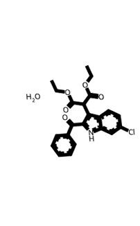 CCOC(=O)C(C(=O)OCC)c1c(C(=O)c2ccccc2)[nH]c2cc(Cl)ccc12.O